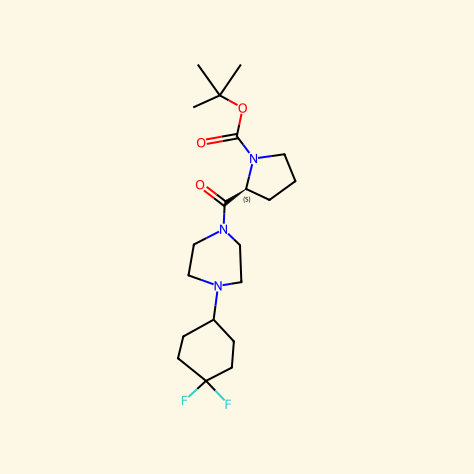 CC(C)(C)OC(=O)N1CCC[C@H]1C(=O)N1CCN(C2CCC(F)(F)CC2)CC1